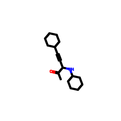 CC(=O)C(C#CC1CCCCC1)NC1CCCCC1